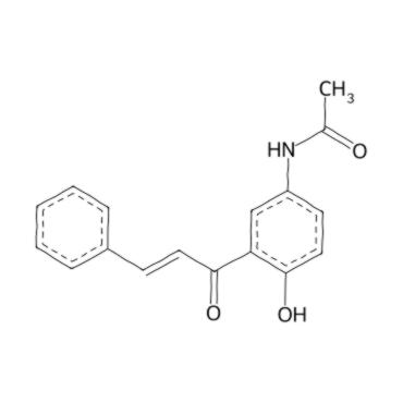 CC(=O)Nc1ccc(O)c(C(=O)/C=C/c2ccccc2)c1